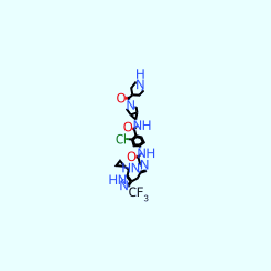 O=C(Nc1ccc(C(=O)NC2C3CN(C(=O)C4CCNCC4)CC32)c(Cl)c1)c1ncc(Cc2c(C(F)(F)F)n[nH]c2CC2CC2)[nH]1